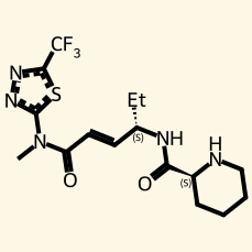 CC[C@@H](C=CC(=O)N(C)c1nnc(C(F)(F)F)s1)NC(=O)[C@@H]1CCCCN1